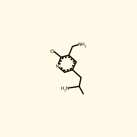 CC(N)Cc1cnc(Cl)c(CN)c1